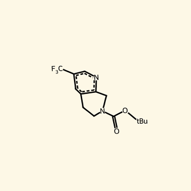 CC(C)(C)OC(=O)N1CCc2cc(C(F)(F)F)cnc2C1